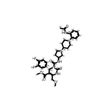 COCC1=C(C(=O)OC)[C@H](c2ccc(F)c(F)c2)N(C(=O)NC2CCN(C3CCN(c4ccccc4NC(C)=O)CC3)C2)C(=O)N1